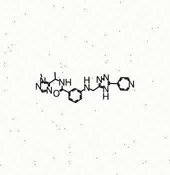 CC(NC(=O)c1cccc(NCc2nnc(-c3ccncc3)[nH]2)c1)c1ncnn1C